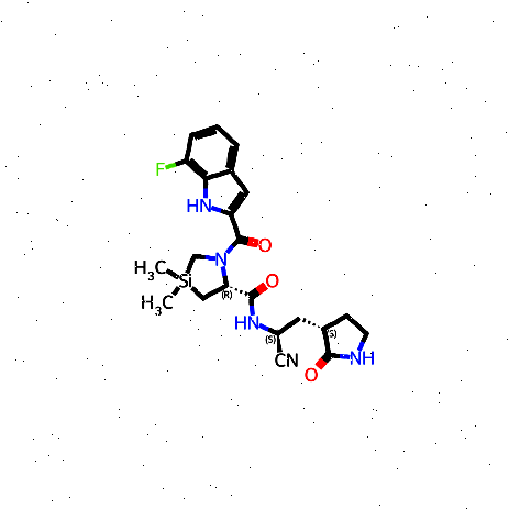 C[Si]1(C)C[C@@H](C(=O)N[C@H](C#N)C[C@@H]2CCNC2=O)N(C(=O)c2cc3cccc(F)c3[nH]2)C1